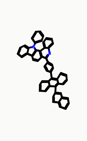 c1ccc(-n2c3ccccc3c3ccc4c(-c5ccc(-c6c7ccccc7c(-c7ccc8ccccc8c7)c7ccccc67)cc5)nc5ccccc5c4c32)cc1